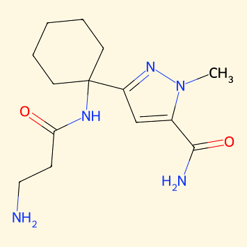 Cn1nc(C2(NC(=O)CCN)CCCCC2)cc1C(N)=O